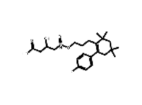 CC1(C)CC(c2ccc(F)cc2)=C(CCCO[PH](=O)CC(O)CC(=O)O)C(C)(C)C1